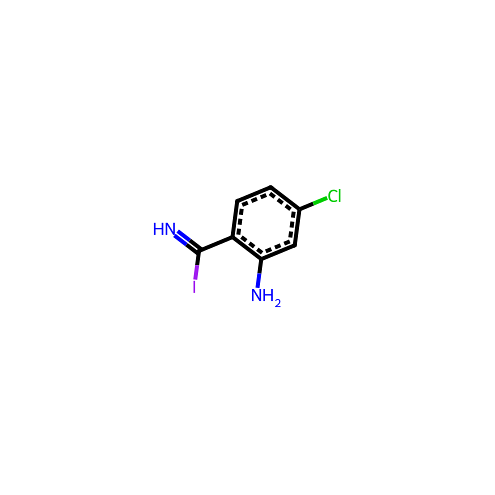 N=C(I)c1ccc(Cl)cc1N